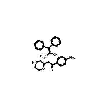 N#CC(C(=O)O)=C(c1ccccc1)c1ccccc1.Nc1ccc(C(=O)CC2CNCCO2)cc1